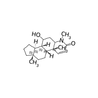 CN1C(=O)C=C[C@@]2(C)C1CC(O)[C@@H]1[C@H]2CC[C@]2(C)CCC[C@@H]12